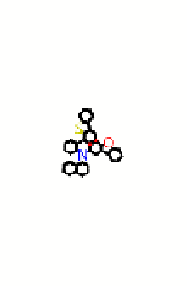 c1ccc(N(c2ccc3oc4ccccc4c3c2)c2cccc3ccccc23)c(-c2cccc3c2sc2ccccc23)c1